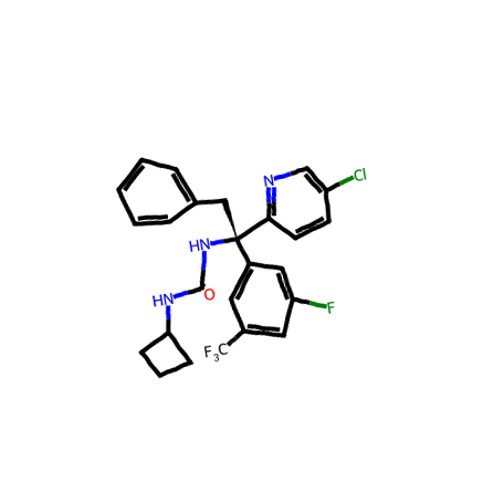 O=C(NC1CCC1)N[C@@](Cc1ccccc1)(c1cc(F)cc(C(F)(F)F)c1)c1ccc(Cl)cn1